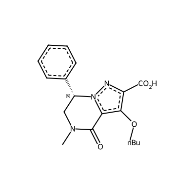 CCCCOc1c(C(=O)O)nn2c1C(=O)N(C)C[C@@H]2c1ccccc1